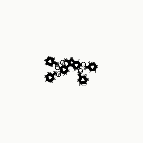 c1ccc(COc2cc3c(cc2OCc2ccccc2)C2=C(COc4c2ccc(OCc2ccccc2)c4OCc2ccccc2)C3)cc1